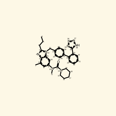 CCCc1nc2c(C)cc(N(C)C(=O)N3CCCCC3)cc2n1Cc1ccc(-c2ccccc2-c2nnn[nH]2)cc1